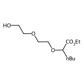 CCCCC(OCCOCCO)C(=O)OCC